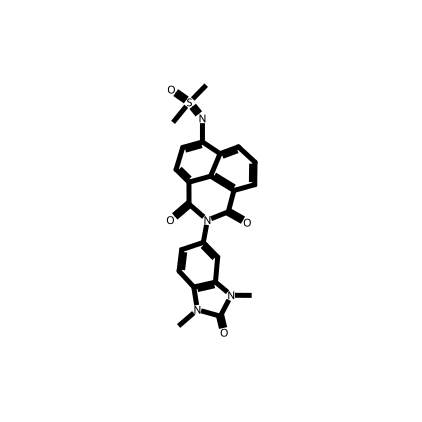 Cn1c(=O)n(C)c2cc(N3C(=O)c4cccc5c(N=S(C)(C)=O)ccc(c45)C3=O)ccc21